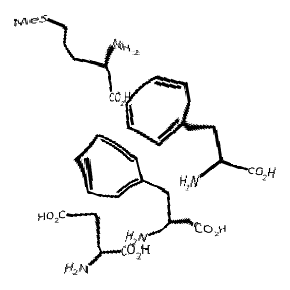 CSCCC(N)C(=O)O.NC(CC(=O)O)C(=O)O.NC(Cc1ccccc1)C(=O)O.NC(Cc1ccccc1)C(=O)O